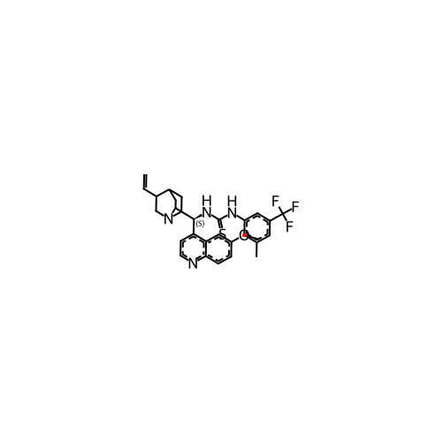 C=CC1CN2CCC1CC2[C@@H](NC(=S)Nc1cc(C)cc(C(F)(F)F)c1)c1ccnc2ccc(OC)cc12